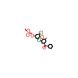 CCOC(=O)COc1cc(Cl)c(Oc2c(C)cc(C(=O)c3ccccc3)cc2C)c(Cl)c1